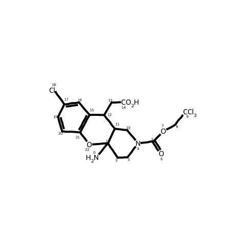 NC12CCN(C(=O)OCC(Cl)(Cl)Cl)CC1C(CC(=O)O)c1cc(Cl)ccc1O2